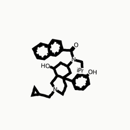 CC(C)CN(C(=O)c1ccc2ccccc2c1)C1CC(O)C2CN(CC3CC3)CCC2(c2cccc(O)c2)C1